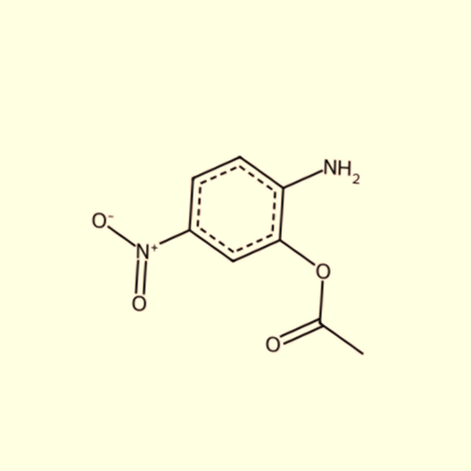 CC(=O)Oc1cc([N+](=O)[O-])ccc1N